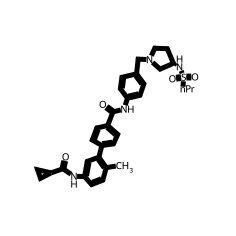 CCCS(=O)(=O)N[C@@H]1CCN(Cc2ccc(NC(=O)c3ccc(-c4cc(NC(=O)C5CC5)ccc4C)cc3)cc2)C1